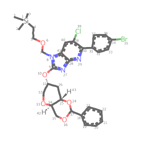 C[Si](C)(C)CCOCn1c(O[C@H]2CO[C@@H]3COC(c4ccccc4)O[C@H]3C2)nc2nc(-c3ccc(Br)cc3)c(Cl)cc21